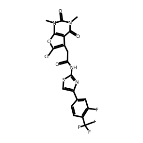 Cn1c(=O)c2c(CC(=O)Nc3nc(-c4ccc(C(F)(F)F)c(F)c4)cs3)c(Cl)oc2n(C)c1=O